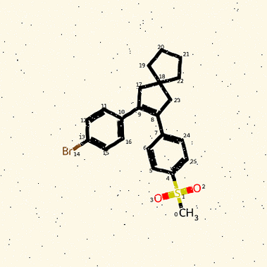 CS(=O)(=O)c1ccc(C2=C(c3ccc(Br)cc3)CC3(CCCC3)C2)cc1